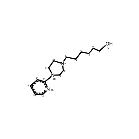 OCCCCCCN1CCN(c2ccccn2)CC1